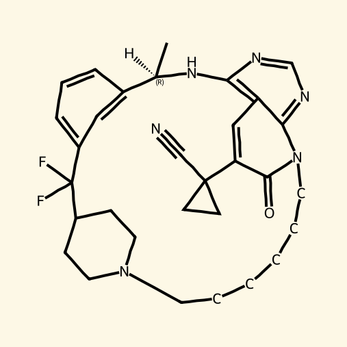 C[C@H]1Nc2ncnc3c2cc(C2(C#N)CC2)c(=O)n3CCCCCCN2CCC(CC2)C(F)(F)c2cccc1c2